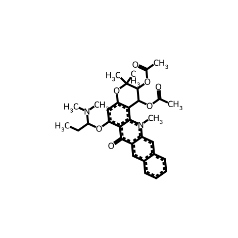 CCC(Oc1cc2c(c3c1c(=O)c1cc4ccccc4cc1n3C)C(OC(C)=O)C(OC(C)=O)C(C)(C)O2)N(C)C